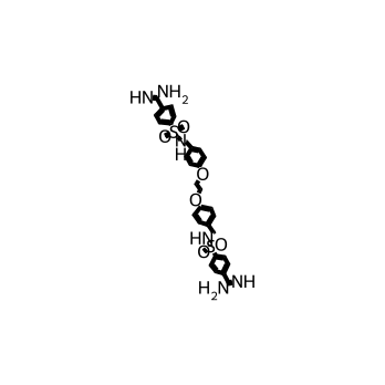 N=C(N)c1ccc(S(=O)(=O)NCc2ccc(OCCOc3ccc(CNS(=O)(=O)c4ccc(C(=N)N)cc4)cc3)cc2)cc1